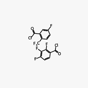 O=C(Cl)c1cc(F)ccc1C(F)(F)F.O=C(Cl)c1ccc(F)c(F)c1F